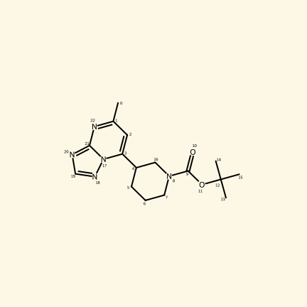 Cc1cc(C2CCCN(C(=O)OC(C)(C)C)C2)n2ncnc2n1